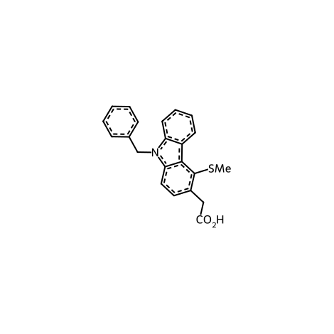 CSc1c(CC(=O)O)ccc2c1c1ccccc1n2Cc1ccccc1